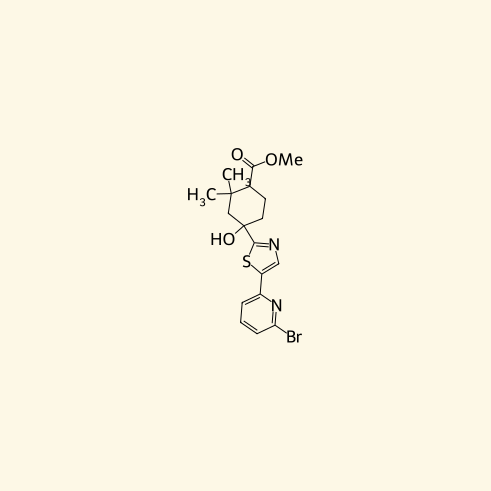 COC(=O)C1CCC(O)(c2ncc(-c3cccc(Br)n3)s2)CC1(C)C